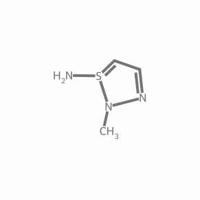 CN1N=CC=S1N